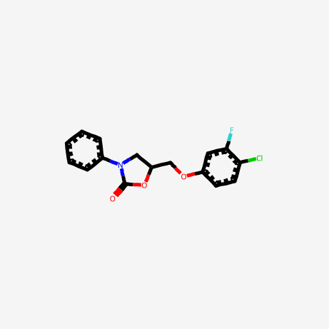 O=C1OC(COc2ccc(Cl)c(F)c2)CN1c1ccccc1